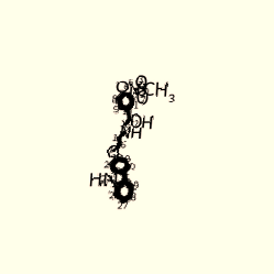 CS(=O)(=O)N1COc2ccc(C(O)CNCCOc3ccc4c(c3)[nH]c3ccccc34)cc21